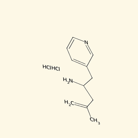 C=C(C)CC(N)Cc1cccnc1.Cl.Cl